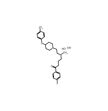 CN(CCCC(=O)c1ccc(F)cc1)CCN1CCC(Oc2ccc(C(F)(F)F)cc2)CC1.Cl.Cl